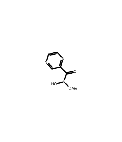 CON(O)C(=O)c1cnccn1